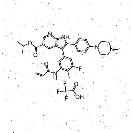 C=CC(=O)Nc1cc(-c2c(-c3ccc(N4CCN(C)CC4)cc3)[nH]c3ncc(C(=O)OC(C)C)cc23)cc(F)c1C.O=C(O)C(F)(F)F